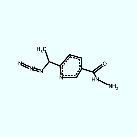 CC(N=[N+]=[N-])c1ccc(C(=O)NN)cn1